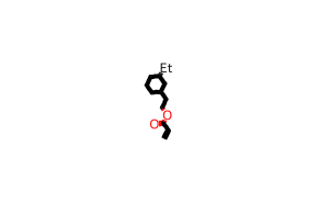 C=CC(=O)OCCC1CCCC(CC)C1